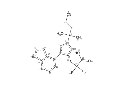 CC(C)(CCC#N)n1cc(-c2ccnc3[nH]ccc23)cn1.O=C(O)C(F)(F)F